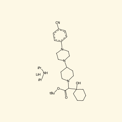 CC(C)(C)OC(=O)C(N1CCC(N2CCN(c3ccc(C#N)cc3)CC2)CC1)C1(O)CCCCC1.CC(C)NC(C)C.[LiH]